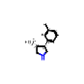 Cc1cccc([C@H]2CNC[C@@H]2C(=O)O)c1